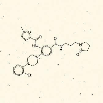 CCc1ccccc1N1CCN(c2ccc(C(=O)NCCCN3CCCC3=O)cc2NC(=O)c2ccc(C)o2)CC1